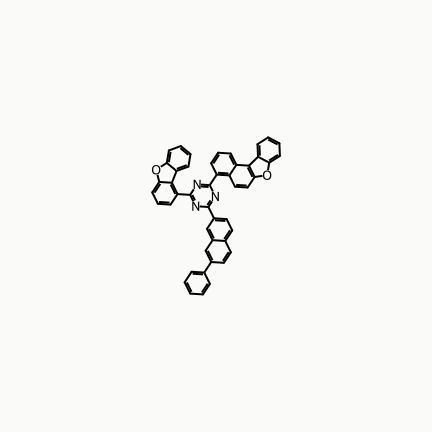 c1ccc(-c2ccc3ccc(-c4nc(-c5cccc6c5ccc5oc7ccccc7c56)nc(-c5cccc6oc7ccccc7c56)n4)cc3c2)cc1